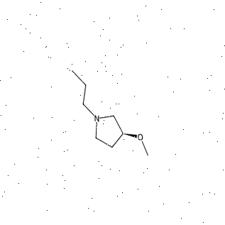 [CH2]CCN1CC[C@H](OC)C1